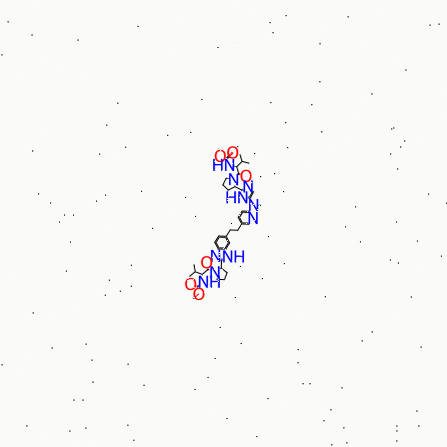 COC(=O)NC(C(=O)N1CCCC1c1ncc(N(C)c2ccc(CCc3ccc4nc(C5CCCN5C(=O)C(NC(=O)OC)C(C)C)[nH]c4c3)cn2)[nH]1)C(C)C